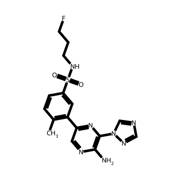 Cc1ccc(S(=O)(=O)NCCCF)cc1-c1cnc(N)c(-n2cncn2)n1